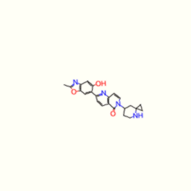 Cc1nc2cc(O)c(-c3ccc4c(=O)n(C5CCNC6(CC6)C5)ccc4n3)cc2o1